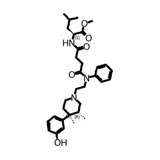 COC(=O)[C@H](CC(C)C)NC(=O)CCC(=O)N(CCN1CC[C@](C)(c2cccc(O)c2)[C@@H](C)C1)c1ccccc1